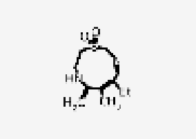 C=C1NCCS(=O)(=O)C/N=C\C(CC)=C/1C